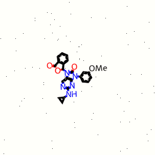 COc1cccc(-n2c(=O)n(C3OC(=O)c4ccccc43)c3cnc(NC4CC4)nc32)c1